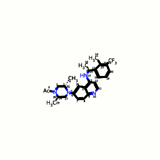 CC(=O)N1C[C@H](C)N(c2ccc3nccc(N[C@H](C)c4cccc(C(F)(F)F)c4C)c3c2)C[C@H]1C